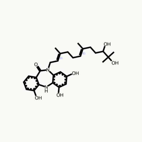 C/C(=C\CN1C(=O)c2cccc(O)c2Nc2c(O)cc(O)cc21)CC/C=C(\C)CCC(O)C(C)(C)O